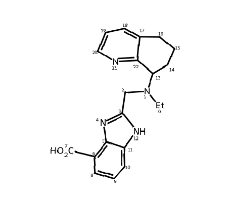 CCN(Cc1nc2c(C(=O)O)cccc2[nH]1)C1CCCc2cccnc21